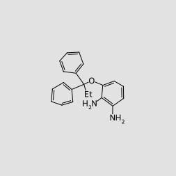 CCC(Oc1cccc(N)c1N)(c1ccccc1)c1ccccc1